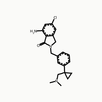 CN(C)CC1(c2cccc(CN3Cc4cc(Cl)cc(N)c4C3=O)c2)CC1